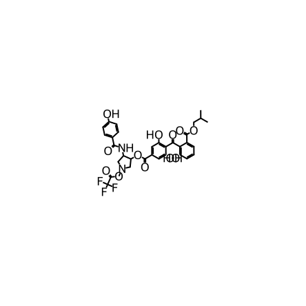 CC(C)COC(=O)c1cccc(O)c1C(=O)c1c(O)cc(C(=O)OC2CN(OC(=O)C(F)(F)F)CC2NC(=O)c2ccc(O)cc2)cc1O